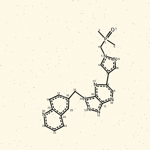 CP(C)(=O)Cn1cc(-c2cnc3nnn(Cc4ccc5ncccc5c4)c3n2)cn1